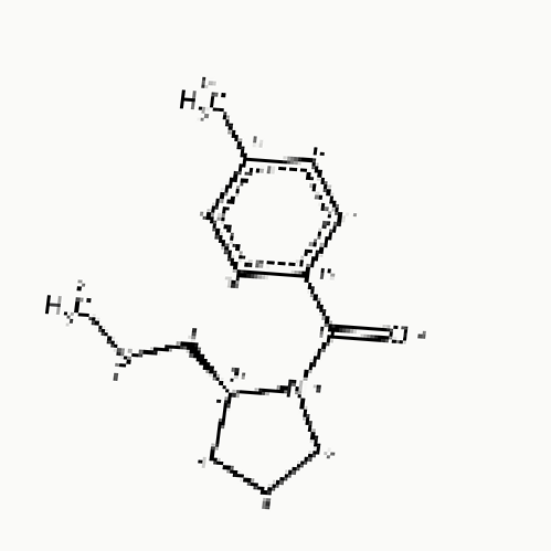 CSC[C@@H]1CCCN1C(=O)c1ccc(C)cc1